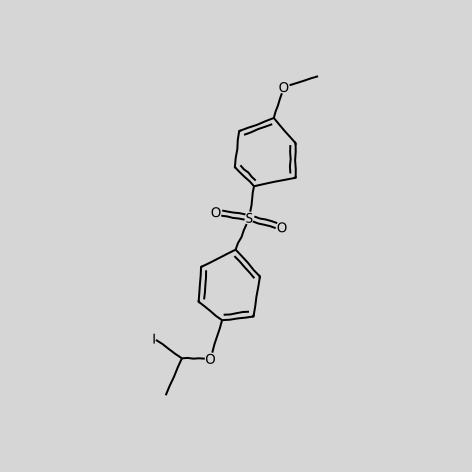 COc1ccc(S(=O)(=O)c2ccc(OC(C)I)cc2)cc1